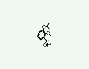 COc1c([CH]O)cccc1OC(C)C